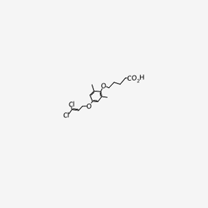 Cc1cc(OCC=C(Cl)Cl)cc(C)c1OCCCCC(=O)O